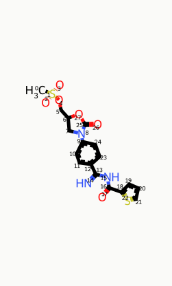 CS(=O)(=O)OCC1CN(c2ccc(C(=N)NC(=O)c3cccs3)cc2)C(=O)O1